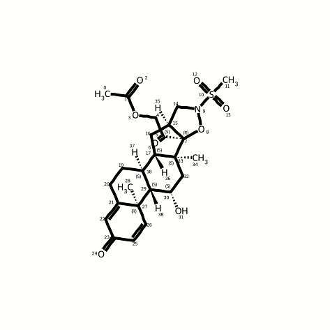 CC(=O)OCC(=O)[C@@]12ON(S(C)(=O)=O)C[C@@H]1C[C@H]1[C@@H]3CCC4=CC(=O)C=C[C@]4(C)[C@H]3[C@@H](O)C[C@@]12C